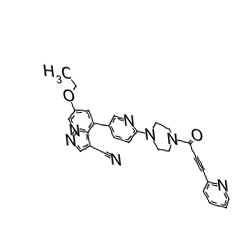 CCOc1cc(-c2ccc(N3CCN(C(=O)C#Cc4ccccn4)CC3)nc2)c2c(C#N)cnn2c1